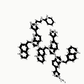 Cn1cc(-c2ccc3ncn(Cc4ccc5ncccc5c4)c3n2)cn1.c1cnc2ccc(Cn3cnc4ccc(-c5cn[nH]c5)nc43)cc2c1.c1cnc2ccc(Cn3cnc4ccc(-c5cnn(CCOC6CCCCO6)c5)nc43)cc2c1